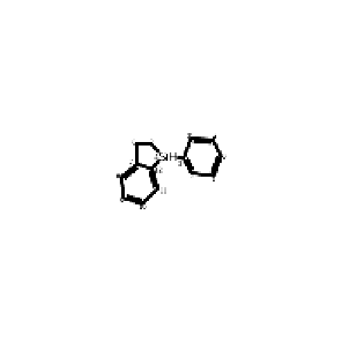 c1ccc([SiH]2CCc3ccccc32)cc1